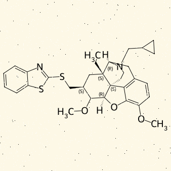 CC[C@]12C[C@H](CSc3nc4ccccc4s3)C(OC)[C@@H]3Oc4c(OC)ccc5c4[C@@]31CCN(CC1CC1)[C@@H]2C5